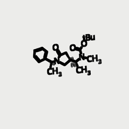 C[C@@H]([C@@H]1CC(=O)N([C@@H](C)c2ccccc2)C1)N(C)C(=O)OC(C)(C)C